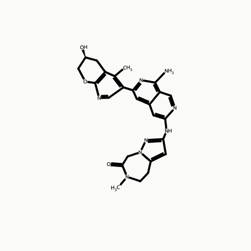 Cc1c(-c2cc3cc(Nc4cc5n(n4)CC(=O)N(C)CC5)ncc3c(N)n2)cnc2c1C[C@H](O)CO2